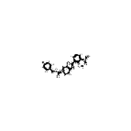 COc1c(-c2nc3c(o2)CN(C(=O)OCc2ccccc2)CC3)cccc1[N+](=O)[O-]